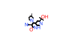 C[C@@H]1CCN(c2c(C#N)c(=O)[nH]c3cnc(C(C)(C)O)cc23)C1